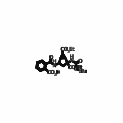 CCOC(=O)C1C2C(NC(=O)c3ccccc3C(=O)O)CC(NC(=O)OC(C)(C)C)(C(=O)OCC)C12